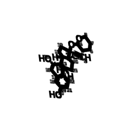 C#C[C@]1(OC2CCCCO2)CC[C@H]2[C@@H]3[C@H](O)Cc4cc(O)ccc4[C@H]3CC[C@@]21C